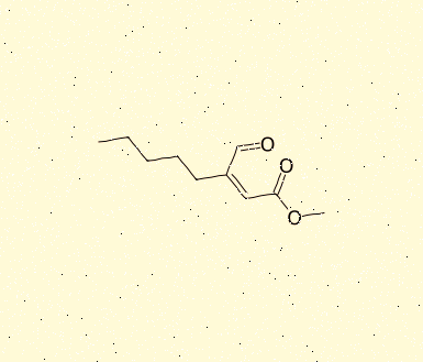 CCCCCC(C=O)=CC(=O)OC